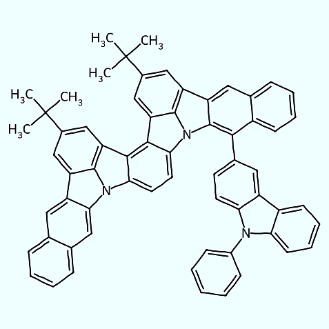 CC(C)(C)c1cc2c3cc4ccccc4cc3n3c4ccc5c(c6cc(C(C)(C)C)cc7c8cc9ccccc9c(-c9ccc%10c(c9)c9ccccc9n%10-c9ccccc9)c8n5c76)c4c(c1)c23